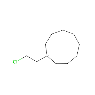 ClCC[C]1CCCCCCCC1